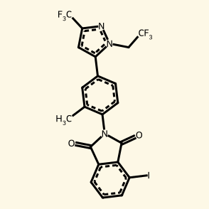 Cc1cc(-c2cc(C(F)(F)F)nn2CC(F)(F)F)ccc1N1C(=O)c2cccc(I)c2C1=O